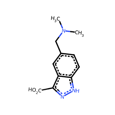 CN(C)Cc1ccc2[nH]nc(C(=O)O)c2c1